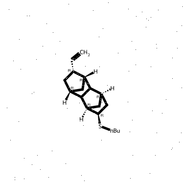 C=C[C@H]1C[C@@H]2C[C@H]1C1C2[C@H]2C[C@@H]1C[C@H]2SCCCC